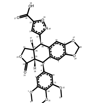 COc1cc([C@@H]2c3cc4c(cc3[C@H](c3cc(C(=O)O)on3)[C@H]3COC(=O)[C@@H]23)OCO4)cc(OC)c1OC